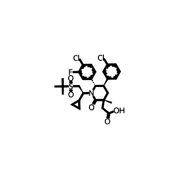 CC(C)(C)S(=O)(=O)C[C@H](C1CC1)N1C(=O)[C@@](C)(CC(=O)O)C[C@H](c2cccc(Cl)c2)[C@H]1c1ccc(Cl)c(F)c1